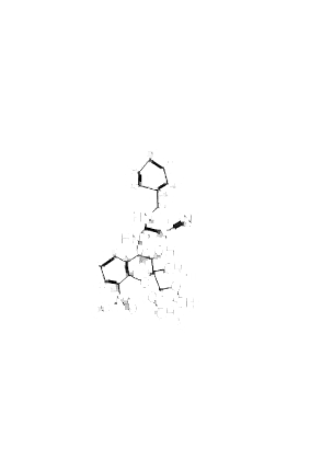 COC(OC)C1(C)Oc2c(cccc2[N+](=O)[O-])[C@@H](NC(=NC#N)NCc2ccccc2)[C@@H]1O